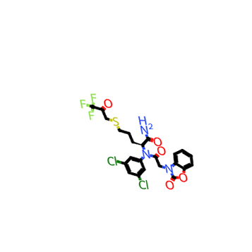 NC(=O)[C@H](CCCSCC(=O)C(F)(F)F)N(C(=O)Cn1c(=O)oc2ccccc21)c1cc(Cl)cc(Cl)c1